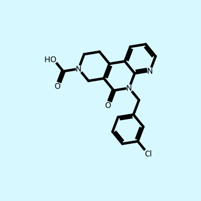 O=C(O)N1CCc2c(c(=O)n(Cc3cccc(Cl)c3)c3ncccc23)C1